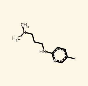 CN(C)CCCNc1ccc(I)cn1